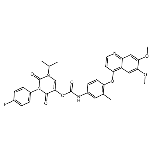 COc1cc2nccc(Oc3ccc(NC(=O)Oc4cn(C(C)C)c(=O)n(-c5ccc(F)cc5)c4=O)cc3C)c2cc1OC